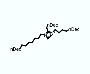 CCCCCCCCCCCCCCCCCn1cc[n+](CCCCCCCCCCCCCC)c1CCCCCCCCCCC